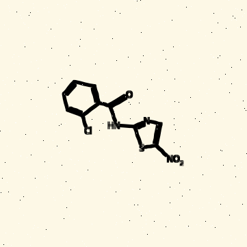 O=C(Nc1ncc([N+](=O)[O-])s1)c1ccccc1Cl